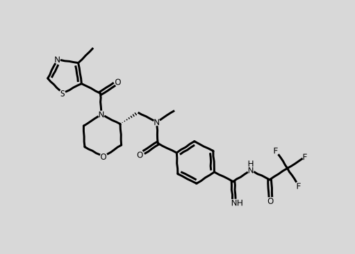 Cc1ncsc1C(=O)N1CCOC[C@H]1CN(C)C(=O)c1ccc(C(=N)NC(=O)C(F)(F)F)cc1